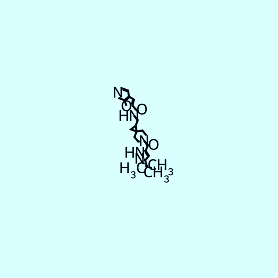 CC(C)(C)c1cc(C(=O)N2CCC3(CC2)CC3CNC(=O)c2cc3ccncc3o2)[nH]n1